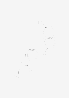 CC1COc2ccc(Oc3ccnc(C(=O)NC4CC4)c3)cc2C1